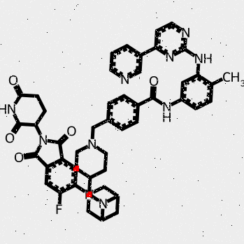 Cc1ccc(NC(=O)c2ccc(CN3CCC(CN4C5CC4CN(c4cc6c(cc4F)C(=O)N(C4CCC(=O)NC4=O)C6=O)C5)CC3)cc2)cc1Nc1nccc(-c2cccnc2)n1